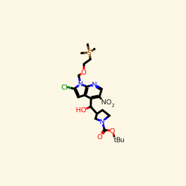 CC(C)(C)OC(=O)N1CCC(C(O)c2c([N+](=O)[O-])cnc3c2cc(Cl)n3COCCS(C)(C)C)C1